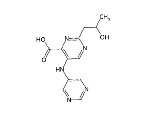 CC(O)Cc1ncc(Nc2cncnc2)c(C(=O)O)n1